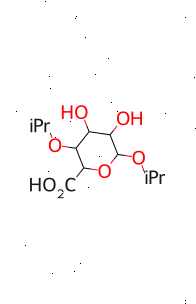 CC(C)OC1OC(C(=O)O)C(OC(C)C)C(O)C1O